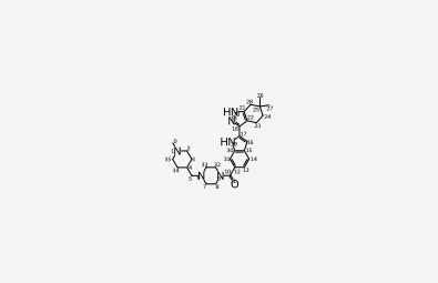 CN1CCC(CN2CCN(C(=O)c3ccc4cc(-c5n[nH]c6c5CCC(C)(C)C6)[nH]c4c3)CC2)CC1